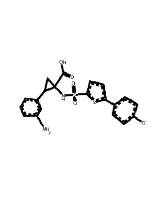 Nc1cccc(C2CC2(NS(=O)(=O)c2ccc(-c3ccc(Cl)cc3)s2)C(=O)O)c1